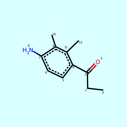 CCC(=O)c1ccc(N)c(C)c1C